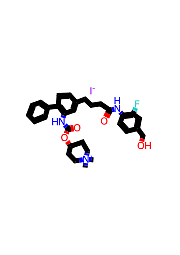 C[N+]1(C)CCC(OC(=O)Nc2cc(CCCC(=O)Nc3ccc(CO)cc3F)ccc2-c2ccccc2)CC1.[I-]